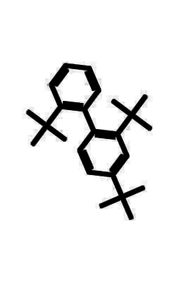 CC(C)(C)c1ccc(-c2ccc[c]c2C(C)(C)C)c(C(C)(C)C)c1